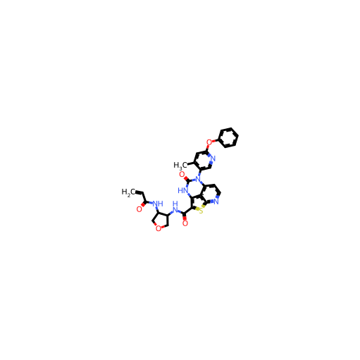 C=CC(=O)NC1COCC1NC(=O)c1sc2nccc3c2c1NC(=O)N3c1cnc(Oc2ccccc2)cc1C